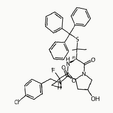 CC(C)(SC(c1ccccc1)(c1ccccc1)c1ccccc1)[C@H](NC(=O)C1(F)CC1)C(=O)N1CC(O)CC1C(=O)NCc1ccc(Cl)cc1